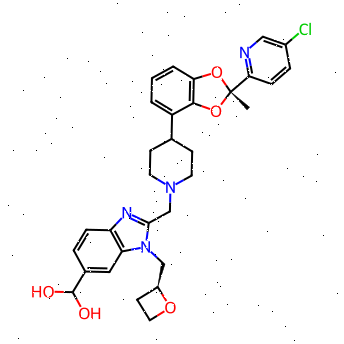 C[C@]1(c2ccc(Cl)cn2)Oc2cccc(C3CCN(Cc4nc5ccc(C(O)O)cc5n4C[C@@H]4CCO4)CC3)c2O1